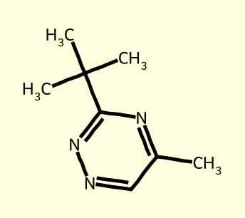 Cc1cnnc(C(C)(C)C)n1